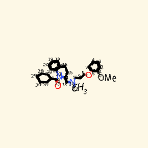 COc1ccccc1OCCCN(C)CC1CCc2ccccc2N1C(=O)C1CCCCC1